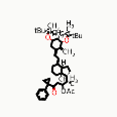 C=C1/C(=C\C=C2/CCC[C@]3(C)[C@@H]([C@H](C)C(CC(=O)C4(c5ccccc5)CC4)OC(C)=O)CC[C@@H]23)C[C@@H](O[Si](C)(C)C(C)(C)C)C[C@@H]1O[Si](C)(C)C(C)(C)C